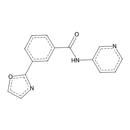 O=C(Nc1cccnc1)c1cccc(-c2ncco2)c1